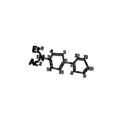 CCN(C(C)=O)c1ccc(-c2ccccc2)cc1